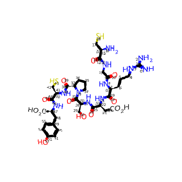 N=C(N)NCCC[C@H](NC(=O)CNC(=O)[C@H](N)CS)C(=O)N[C@@H](CC(=O)O)C(=O)N[C@@H](CO)C(=O)N1CCC[C@H]1C(=O)N[C@H](CS)C(=O)N[C@@H](Cc1ccc(O)cc1)C(=O)O